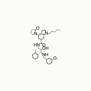 CCCCCn1ccc2c(N3CCCC3=O)cc(C(=O)N[C@@H](Cc3ccccc3)[C@@H](O)CNCc3cccc(OC)c3)cc21